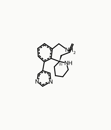 C=CC[C@]1(c2c(CN)cccc2-c2cncnc2)CCCCN1